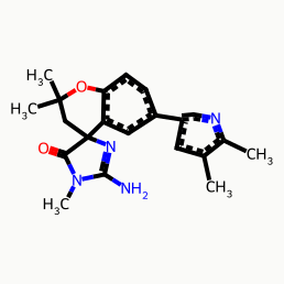 Cc1cc(-c2ccc3c(c2)C2(CC(C)(C)O3)N=C(N)N(C)C2=O)cnc1C